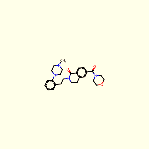 CN1CCN(c2ccccc2CCN2CCc3cc(C(=O)N4CCOCC4)ccc3C2=O)CC1